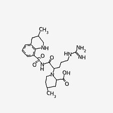 CC1CNc2c(cccc2S(=O)(=O)NC(=O)C(CCCNC(=N)N)N2CCC(C)CC2C(=O)O)C1